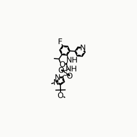 COC(C)(C)c1cc(S(=O)(=O)NC(=O)Nc2c(-c3cccnc3)cc(F)cc2C(C)C)nn1C